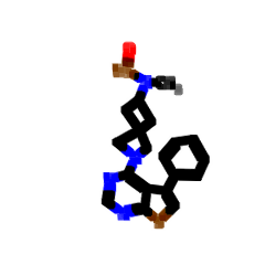 CN([SH]=O)C1CC2(C1)CN(c1ncnc3scc(-c4ccccc4)c13)C2